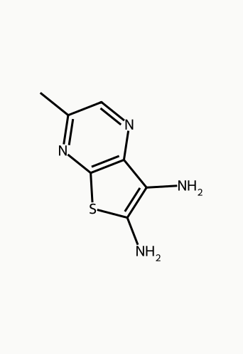 Cc1cnc2c(N)c(N)sc2n1